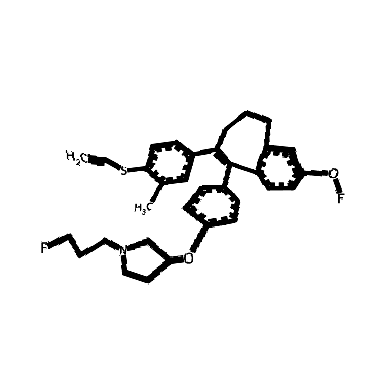 C=CSc1ccc(C2=C(c3ccc(OC4CCN(CCCF)C4)cc3)c3ccc(OF)cc3CCC2)cc1C